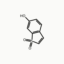 O=S1(=O)C=Cc2ccc(O)cc21